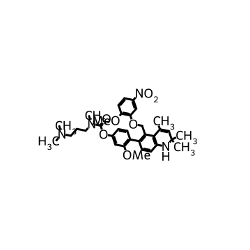 COc1ccc([N+](=O)[O-])cc1OCc1c(-c2ccc(OC(=O)N(C)CCCN(C)C)cc2OC)ccc2c1C(C)=CC(C)(C)N2